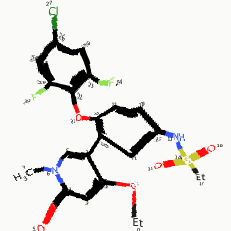 CCOc1cc(=O)n(C)cc1-c1cc(NS(=O)(=O)CC)ccc1Oc1c(F)cc(Cl)cc1F